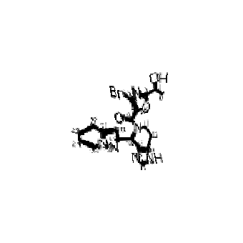 CC(O)c1nc(Br)c(C(=O)N2CCc3[nH]cnc3C2c2cc3ccccn3n2)o1